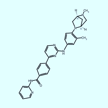 Cc1cc(Nc2nccc(-c3ccc(C(=O)Nc4ccccn4)cc3)n2)ccc1N1C[C@@H]2C[C@H]1CN2C